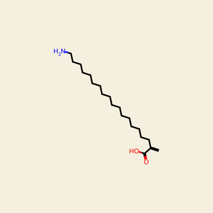 C=C(CCCCCCCCCCCCCCCCCN)C(=O)O